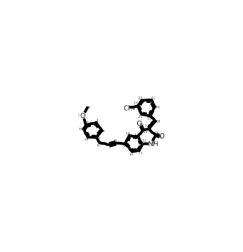 COc1ccc(CC#Cc2ccc3c(c2)C(=O)/C(=C\c2cccc(Cl)c2)C(=O)N3)cc1